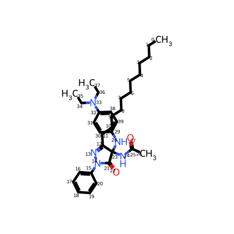 CCCCCCCCCCCCC1=NN(c2ccccc2)C(=O)C1(NC(C)=O)Nc1ccc(N(CC)CC)cc1